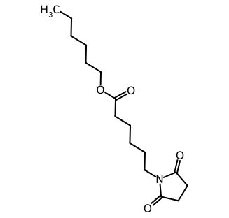 CCCCCCOC(=O)CCCCCN1C(=O)CCC1=O